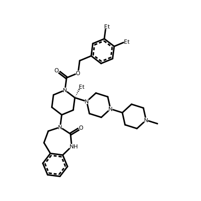 CCc1ccc(COC(=O)N2CCC(N3CCc4ccccc4NC3=O)C[C@]2(CC)N2CCN(C3CCN(C)CC3)CC2)cc1CC